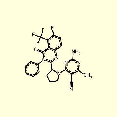 Cc1nc(N)nc(N2CCCC2c2nc3ccc(F)c(C(F)(F)F)c3c(=O)n2-c2ccccc2)c1C#N